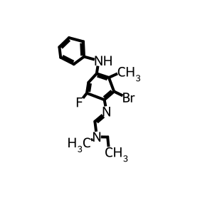 CCN(C)C=Nc1c(F)cc(Nc2ccccc2)c(C)c1Br